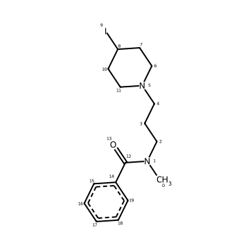 CN(CCCN1CCC(I)CC1)C(=O)c1ccccc1